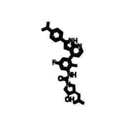 Cc1c(NC(=O)N2C[C@@H](CC(C)C)[C@H](O)C2)cc(F)cc1-c1ccnc2[nH]c(-c3ccc(C(C)C)cc3)cc12